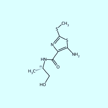 CSc1nc(C(=O)N[C@@H](C)CO)c(N)s1